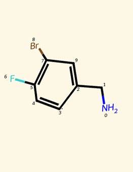 NCc1[c]cc(F)c(Br)c1